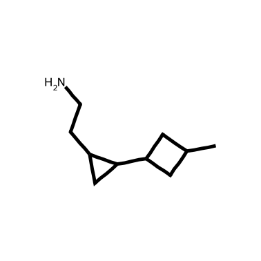 CC1CC(C2CC2CCN)C1